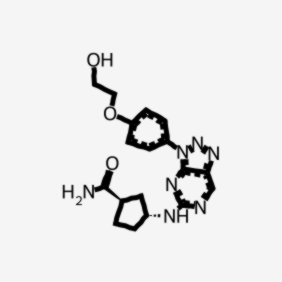 NC(=O)[C@@H]1CC[C@@H](Nc2ncc3nnn(-c4ccc(OCCO)cc4)c3n2)C1